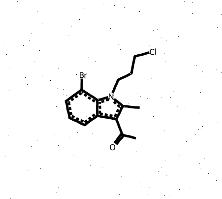 CC(=O)c1c(C)n(CCCCl)c2c(Br)cccc12